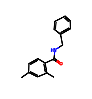 Cc1ccc(C(=O)NCc2ccccc2)c(C)c1